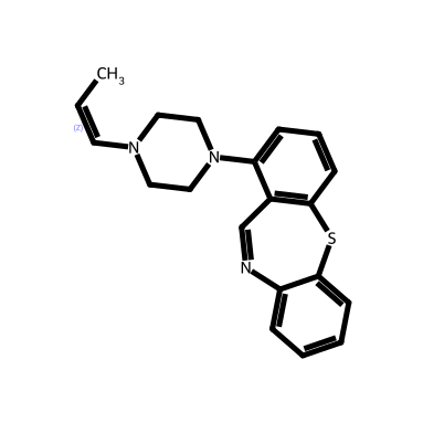 C/C=C\N1CCN(c2cccc3c2C=Nc2ccccc2S3)CC1